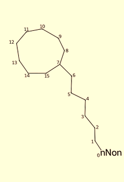 CCCCCCCCCCCCCCCC1CCCCCCCC1